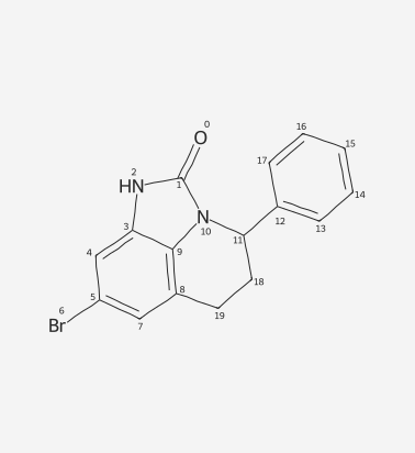 O=c1[nH]c2cc(Br)cc3c2n1C(c1ccccc1)CC3